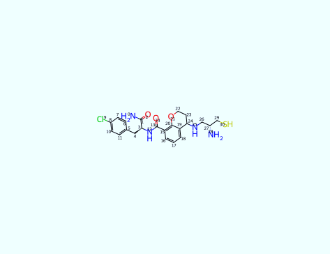 NC(=O)[C@H](Cc1ccc(Cl)cc1)NC(=O)c1cccc2c1OCCC2NC[C@@H](N)CS